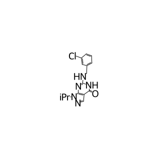 CC(C)n1ncc2c(=O)[nH]c(NCc3cccc(Cl)c3)nc21